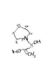 CC(O)C(O)N1CCOCC1